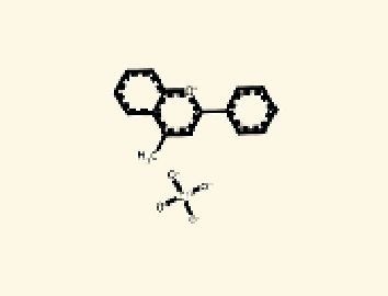 Cc1cc(-c2ccccc2)[o+]c2ccccc12.[O-][Cl+3]([O-])([O-])[O-]